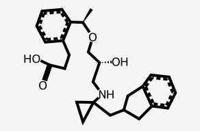 C[C@@H](OC[C@H](O)CNC1(CC2Cc3ccccc3C2)CC1)c1ccccc1CCC(=O)O